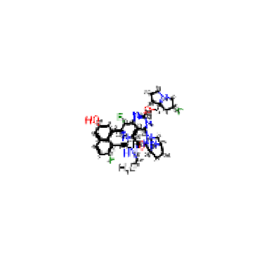 C#Cc1c(F)ccc2cc(O)cc(-c3nc(C(=O)NCC)c4c(N5CC6CCC(C5)N6)nc(OC[C@@]56CCCN5C[C@H](F)C6)nc4c3F)c12